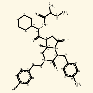 CNC(C)C(=O)N[C@H](C(=O)N1CC(=O)N2[C@@H]1CN(CCc1ccc(F)cc1)C(=O)[C@@H]2Cc1ccc(C)cc1)C1CCCCC1